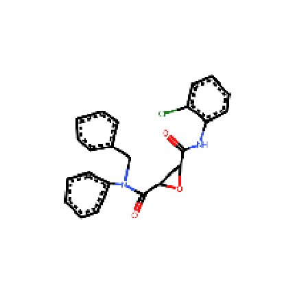 O=C(Nc1ccccc1Cl)[C@H]1OC1C(=O)N(Cc1ccccc1)c1ccccc1